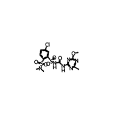 COc1nc(C)nc(NC(=O)NS(=O)(=O)c2cc(Cl)ccc2S(=O)(=O)N(C)C)n1